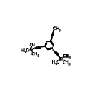 CC#Cc1cc(C#C[Si](C)(C)C)cc(C#C[Si](C)(C)C)c1